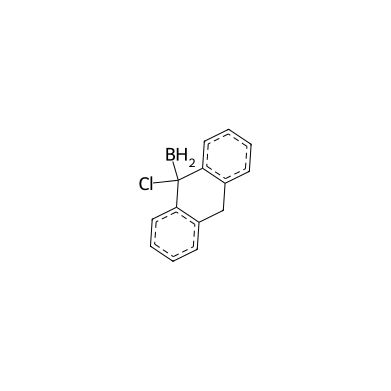 BC1(Cl)c2ccccc2Cc2ccccc21